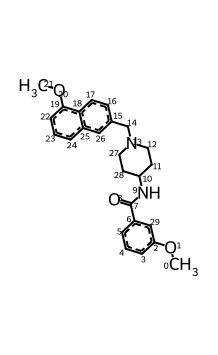 COc1cccc(C(=O)NC2CCN(Cc3ccc4c(OC)cccc4c3)CC2)c1